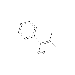 CC(C)=C(C=O)c1ccccc1